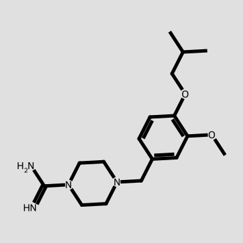 COc1cc(CN2CCN(C(=N)N)CC2)ccc1OCC(C)C